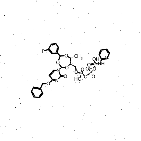 C[C@H]1OC(c2cccc(F)c2)O[C@H](n2ccc(OCc3ccccc3)nc2=O)O[C@@H]1COP(=O)(O)OP(=O)(O)OP(=O)(O)Nc1ccccc1